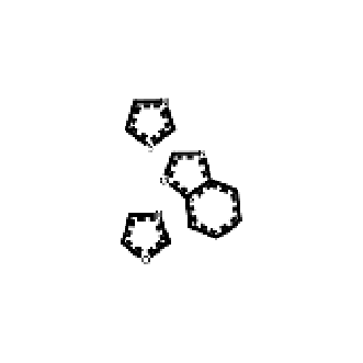 c1ccc2ocnc2c1.c1cocn1.c1cscn1